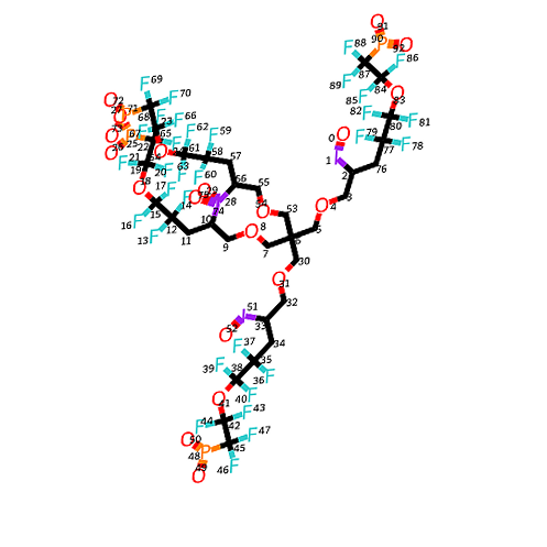 O=IC(COCC(COCC(CC(F)(F)C(F)(F)OC(F)(F)C(F)(F)P(=O)=O)I=O)(COCC(CC(F)(F)C(F)(F)OC(F)(F)C(F)(F)P(=O)=O)I=O)COCC(CC(F)(F)C(F)(F)OC(F)(F)C(F)(F)P(=O)=O)I=O)CC(F)(F)C(F)(F)OC(F)(F)C(F)(F)P(=O)=O